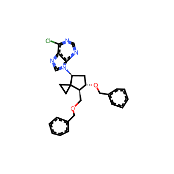 Clc1ncnc2c1ncn2[C@H]1C[C@H](OCc2ccccc2)[C@@H](COCc2ccccc2)C12CC2